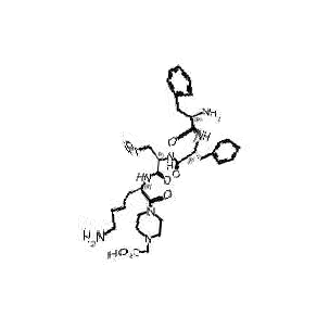 CC(C)C[C@@H](NC(=O)[C@@H](Cc1ccccc1)NC(=O)[C@H](N)Cc1ccccc1)C(=O)N[C@H](CCCCN)C(=O)N1CCN(CC(=O)O)CC1